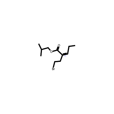 CC/C=C(/CCBr)C(=O)OCC(C)C